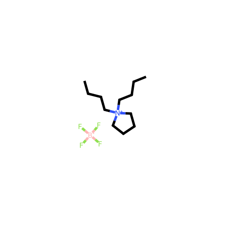 CCCC[N+]1(CCCC)CCCC1.F[B-](F)(F)F